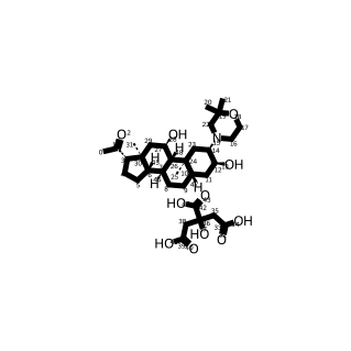 CC(=O)[C@H]1CC[C@H]2[C@@H]3CC[C@H]4C[C@H](O)[C@@H](N5CCOC(C)(C)C5)C[C@]4(C)[C@H]3[C@@H](O)C[C@]12C.O=C(O)CC(O)(CC(=O)O)C(=O)O